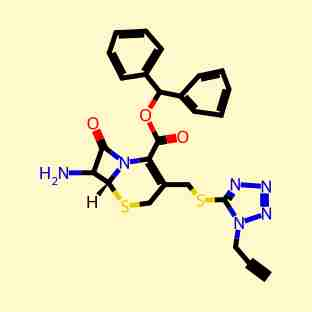 C#CCn1nnnc1SCC1=C(C(=O)OC(c2ccccc2)c2ccccc2)N2C(=O)C(N)[C@H]2SC1